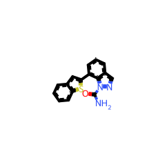 NC(=O)n1ncc2c[c]cc(-c3cc4ccccc4s3)c21